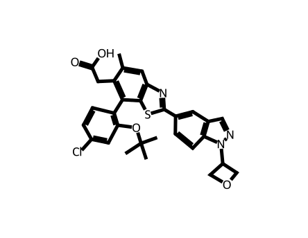 Cc1cc2nc(-c3ccc4c(cnn4C4COC4)c3)sc2c(-c2ccc(Cl)cc2OC(C)(C)C)c1CC(=O)O